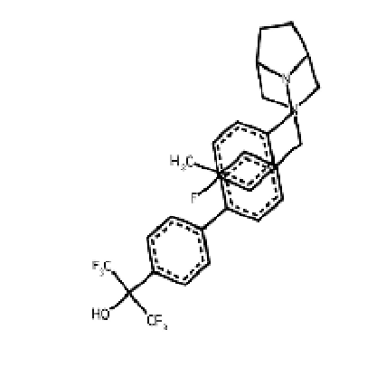 Cc1cc(CN2CC3CCC(C2)N3Cc2ccc(F)cc2)ccc1-c1ccc(C(O)(C(F)(F)F)C(F)(F)F)cc1